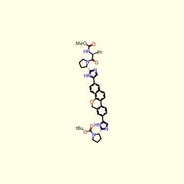 COC(=O)N[C@H](C(=O)N1CCC[C@H]1c1ncc(-c2ccc3c4c(ccc3c2)-c2ccc(-c3cnc([C@@H]5CCCN5C(=O)OC(C)(C)C)[nH]3)cc2CO4)[nH]1)C(C)C